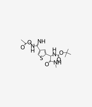 CNC(=O)C(NC(=O)OC(C)(C)C)c1cc(C(=N)NOC(C)=O)cs1